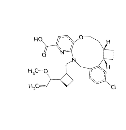 C=C[C@H](OC)[C@@H]1CC[C@H]1CN1Cc2ccc(Cl)cc2[C@H]2CC[C@H]2CCOc2ccc(C(=O)O)nc21